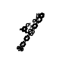 Cc1cc(C[C@@H](OC(=O)N2CCC(N3CCc4ccccc4NC3=O)CC2)C(=O)N2CCC(N3CCN(S(C)(=O)=O)CC3)CC2)cc(C(F)(F)F)c1